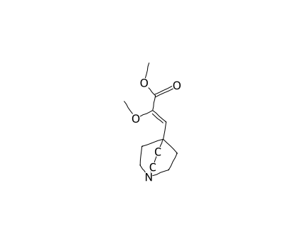 COC(=O)C(=CC12CCN(CC1)CC2)OC